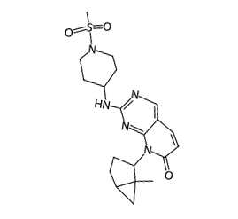 CC12CC1CCC2n1c(=O)ccc2cnc(NC3CCN(S(C)(=O)=O)CC3)nc21